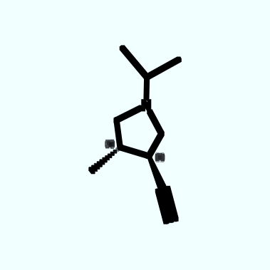 C#C[C@@H]1CN(C(C)C)C[C@H]1C